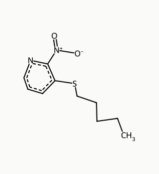 CCCCCSc1cccnc1[N+](=O)[O-]